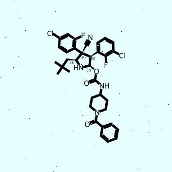 CC(C)(C)C[C@@H]1N[C@H](OC(=O)NC2CCN(C(=O)c3ccccc3)CC2)[C@H](c2cccc(Cl)c2F)[C@@]1(C#N)c1ccc(Cl)cc1F